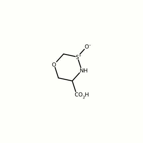 O=C(O)C1COC[S+]([O-])N1